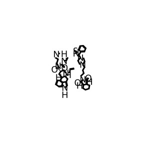 C=CCN1C[C@H](C(=O)N(CCCN(C)C)C(=O)NCC)C[C@@H]2c3cccc4[nH]cc(c34)C[C@H]21.O=C1[C@H]2CCCC[C@H]2C(=O)N1CCCCN1CCN(c2nsc3ccccc23)CC1